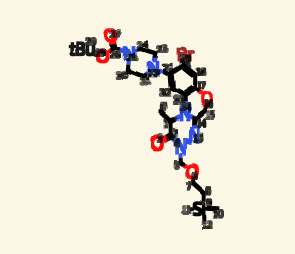 CC1C(=O)N(COCC[Si](C)(C)C)N=C2COc3cc(Br)c(N4CCN(C(=O)OC(C)(C)C)CC4)cc3N21